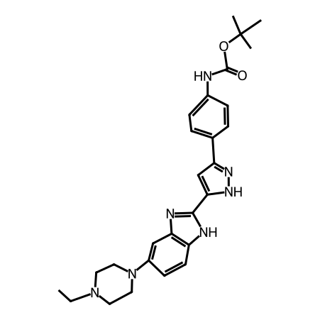 CCN1CCN(c2ccc3[nH]c(-c4cc(-c5ccc(NC(=O)OC(C)(C)C)cc5)n[nH]4)nc3c2)CC1